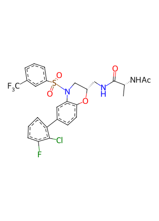 CC(=O)N[C@H](C)C(=O)NC[C@H]1CN(S(=O)(=O)c2cccc(C(F)(F)F)c2)c2cc(-c3cccc(F)c3Cl)ccc2O1